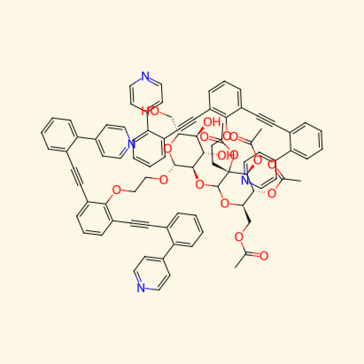 CC(=O)OC[C@H]1OC(O[C@H]2[C@H](OCCOc3c(C#Cc4ccccc4-c4ccncc4)cccc3C#Cc3ccccc3-c3ccncc3)O[C@H](CO)[C@@H](O)[C@@H]2O)[C@](CCOc2c(C#Cc3ccccc3-c3ccncc3)cccc2C#Cc2ccccc2-c2ccncc2)(OC(C)=O)[C@@H](OC(C)=O)[C@@H]1OC(C)=O